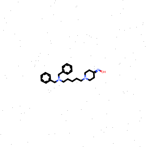 ON=C1CCN(CCCCCN(Cc2ccccc2)Cc2ccccc2)CC1